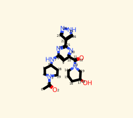 CC(=O)N1CCC(Nc2cc(C(=O)N3CCCC(O)C3)nc(-c3cn[nH]c3)n2)CC1